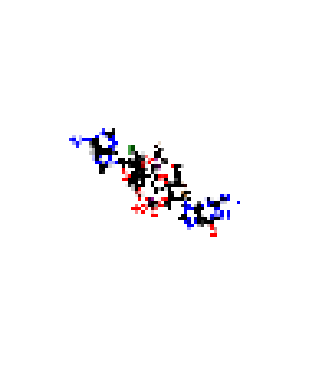 CC(C)(C)[Si](C)(C)O[C@H]1[C@H]2OP(=O)(O)OC[C@H]3O[C@@H](n4cnc5c(N)ncnc54)[C@@H](F)[C@@H]3O[PH](=S)OC[C@H]1S[C@H]2n1cnc2c(=O)[nH]c(N)nc21